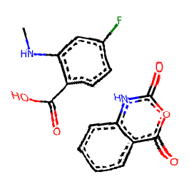 CNc1cc(F)ccc1C(=O)O.O=c1[nH]c2ccccc2c(=O)o1